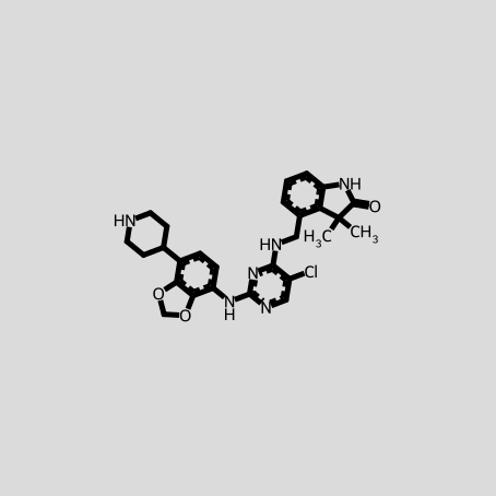 CC1(C)C(=O)Nc2cccc(CNc3nc(Nc4ccc(C5CCNCC5)c5c4OCO5)ncc3Cl)c21